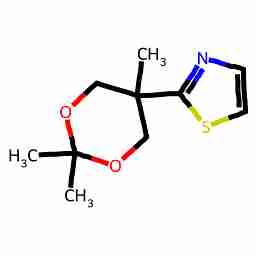 CC1(C)OCC(C)(c2nccs2)CO1